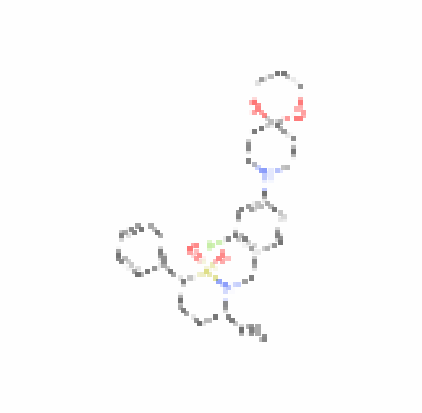 CC1CCC(c2ccccc2)S(=O)(=O)N1Cc1ccc(N2CCC3(CC2)OCCCO3)cc1F